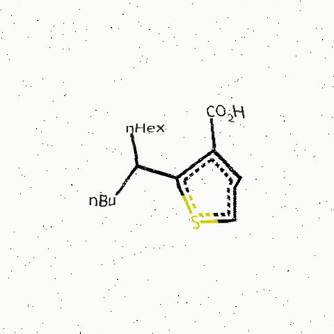 CCCCCCC(CCCC)c1sccc1C(=O)O